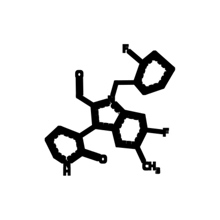 Cc1cc2c(-c3ccc[nH]c3=O)c(C=O)n(Cc3ccccc3F)c2cc1F